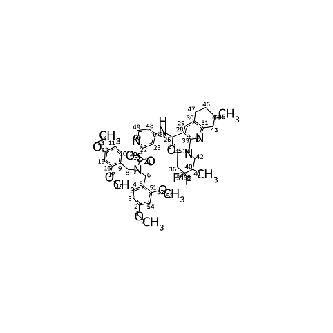 COc1ccc(CN(Cc2ccc(OC)cc2OC)S(=O)(=O)c2cc(NC(=O)c3cc4c(nc3N3CCC(F)(F)C(C)C3)CC(C)CC4)ccn2)c(OC)c1